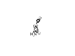 COc1ccc(COC(=O)C2(F)CS[C@@H]3C(N)C(=O)N3C2)cc1